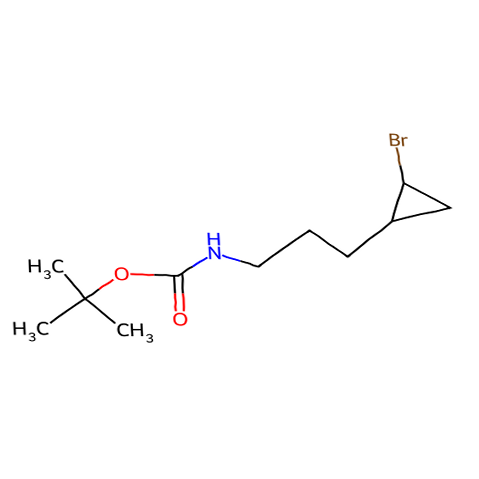 CC(C)(C)OC(=O)NCCCC1CC1Br